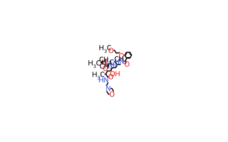 COCCCOc1ccccc1C(=O)NCC(CC(NC(=O)OC(C)(C)C)C(O)CC(C)C(=O)NCCN1CCOCC1)C(C)C